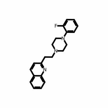 Fc1ccccc1N1CCN(CCc2ccc3ccccc3n2)CC1